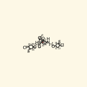 CC(=O)O[C@H]1CC2(NCCOc3ccc(Cl)c(F)c3)CCC1(NC(=O)COc1ccc(Cl)c(F)c1)CC2